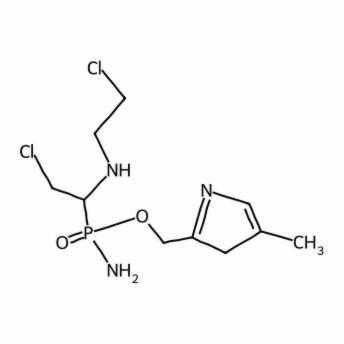 CC1=CN=C(COP(N)(=O)C(CCl)NCCCl)C1